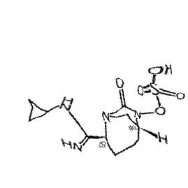 N=C(NC1CC1)[C@@H]1CC[C@@H]2CN1C(=O)N2OS(=O)(=O)O